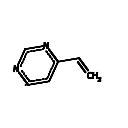 C=Cc1c[c]ncn1